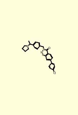 CC(c1ccc(Cn2nnc3cc(-c4ccc(Cl)cc4)ccc3c2=O)cc1)N1CCCC1